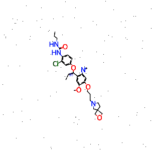 C=Nc1cc(OCCCN2CCC3(COC3)C2)c(OC)cc1/C(=C\C)Oc1ccc(NC(=O)NCCC)c(Cl)c1